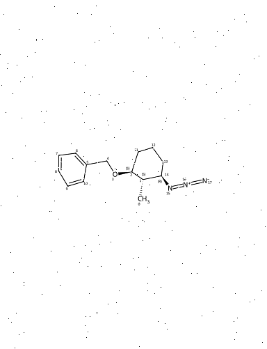 C[C@@H]1[C@@H](OCc2ccccc2)CCC[C@H]1N=[N+]=[N-]